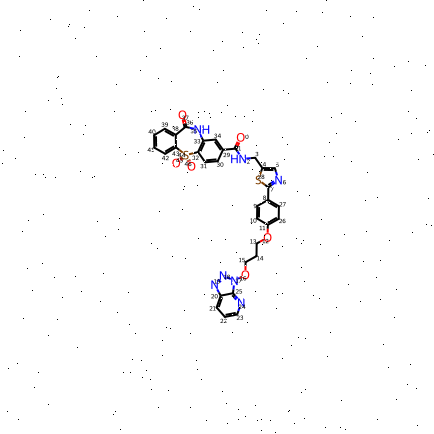 O=C(NCc1cnc(-c2ccc(OCCCOn3nnc4cccnc43)cc2)s1)c1ccc2c(c1)NC(=O)c1ccccc1S2(=O)=O